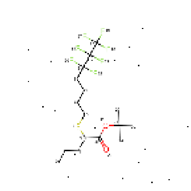 CCCC(SCCCCC(F)(F)C(F)(F)C(F)(F)F)C(=O)OC(C)(C)C